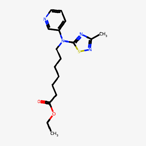 CCOC(=O)CCCCCCN(c1cccnc1)c1nc(C)ns1